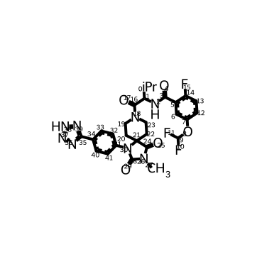 CC(C)C(NC(=O)c1cc(OC(F)F)ccc1F)C(=O)N1CCC2(CC1)C(=O)N(C)C(=O)N2c1ccc(-c2nn[nH]n2)cc1